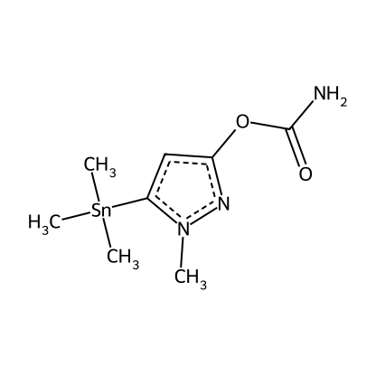 Cn1nc(OC(N)=O)c[c]1[Sn]([CH3])([CH3])[CH3]